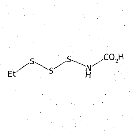 CCSSSNC(=O)O